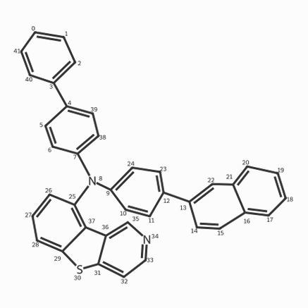 c1ccc(-c2ccc(N(c3ccc(-c4ccc5ccccc5c4)cc3)c3cccc4sc5ccncc5c34)cc2)cc1